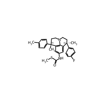 CSC(=O)Nc1cc2c3c(c1)[C@](C)(c1ccc(F)cc1)CCN3CC[C@@]2(C)c1ccc(C)cc1